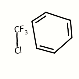 FC(F)(F)Cl.c1ccccc1